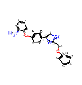 Nc1ccccc1Oc1ccc(-c2c[nH]c(COc3ccccc3)n2)cc1